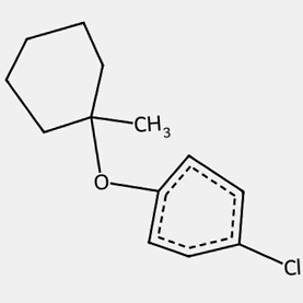 CC1(Oc2ccc(Cl)cc2)CCCCC1